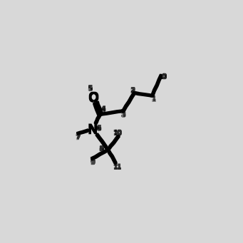 [CH2]CCCC(=O)N(C)C(C)(C)C